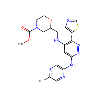 CC(C)(C)OC(=O)N1CCOC(CNc2cc(Nc3cnc(C#N)cn3)nnc2-c2cncs2)C1